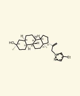 C=C(Cn1cc(CC)cn1)[C@H]1CC[C@H]2[C@@H]3CC[C@@H]4C[C@](C)(O)CC[C@@H]4[C@H]3CC[C@]12C